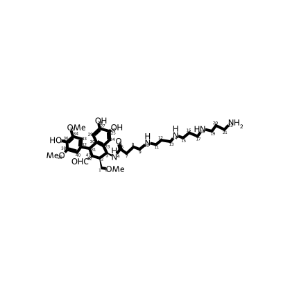 COC[C@@H]1[C@H](NC(=O)CCCNCCCNCCCNCCCN)c2cc(O)c(O)cc2C(c2cc(OC)c(O)c(OC)c2)[C@H]1C=O